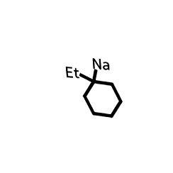 CC[C]1([Na])CCCCC1